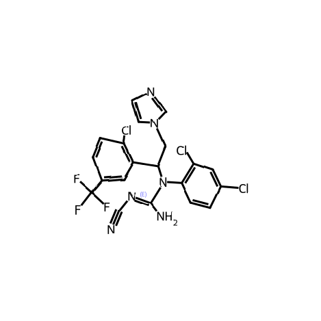 N#C/N=C(\N)N(c1ccc(Cl)cc1Cl)C(Cn1ccnc1)c1cc(C(F)(F)F)ccc1Cl